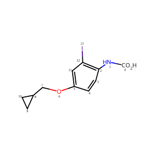 O=C(O)Nc1ccc(OCC2CC2)cc1I